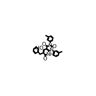 Cc1cccc(-n2c(=O)c3c(O)c(Cc4ccccc4)c(=O)[nH]c3n(-c3cccc(C)c3)c2=O)c1